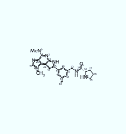 CNc1nc2[nH]c(-c3cc(F)cc(CNC(=O)[C@@H]4CCCN4)c3)cc2c2c1ncn2C